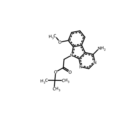 COc1cccc2c3c(N)ncnc3n(CC(=O)OC(C)(C)C)c12